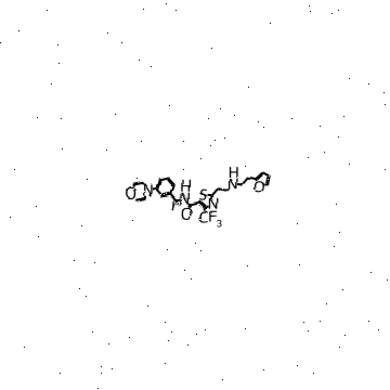 C[C@H](NC(=O)c1sc(CCNCCc2ccco2)nc1C(F)(F)F)c1cccc(N2CCOCC2)c1